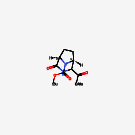 COC(=O)C1NC(=O)[C@H]2CC[C@@H]1N2C(=O)OC(C)(C)C